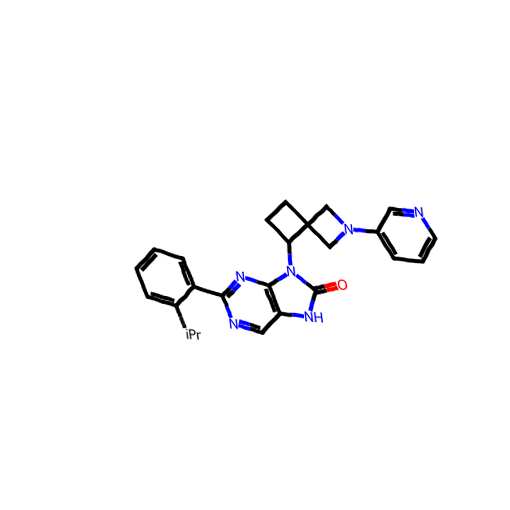 CC(C)c1ccccc1-c1ncc2[nH]c(=O)n(C3CCC34CN(c3cccnc3)C4)c2n1